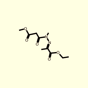 CCOC(=O)C(C)=NN(C)C(=O)CC(=O)OC